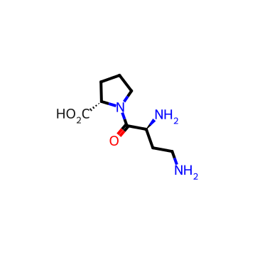 NCC[C@H](N)C(=O)N1CCC[C@H]1C(=O)O